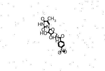 Cc1cn([C@@H]2O[C@H](CNC(=O)c3ccc([N+](=O)[O-])cc3)C(O)C2O)c(=O)[nH]c1=O